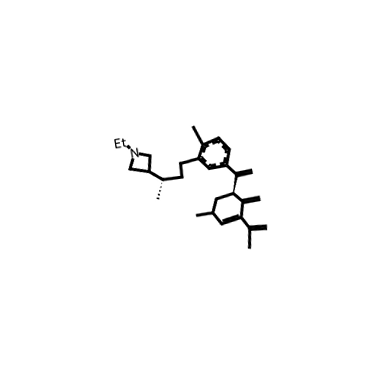 C=C(C)C1=CC(C)C[C@@H](C(=C)c2ccc(C)c(CC[C@H](C)C3CN(CC)C3)c2)C1=C